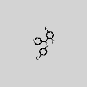 Fc1ccc(F)c(C(Sc2ccc(Cl)cc2)c2ccncc2)c1